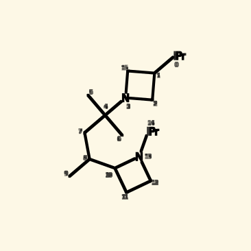 CC(C)C1CN(C(C)(C)CC(C)C2CCN2C(C)C)C1